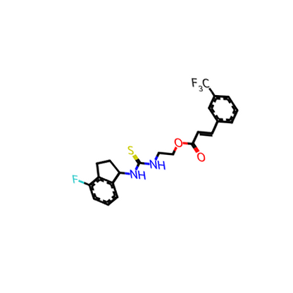 O=C(/C=C/c1cccc(C(F)(F)F)c1)OCCNC(=S)NC1CCc2c(F)cccc21